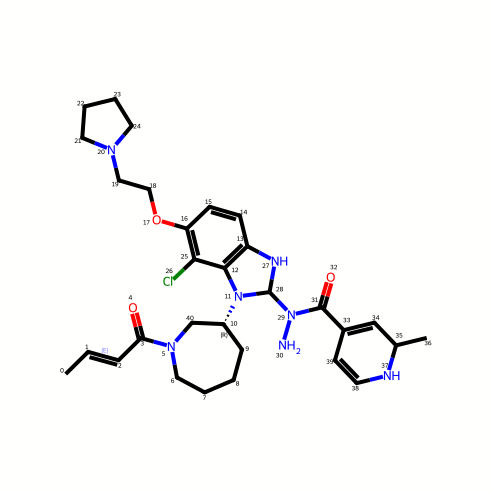 C/C=C/C(=O)N1CCCC[C@@H](N2c3c(ccc(OCCN4CCCC4)c3Cl)NC2N(N)C(=O)C2=CC(C)NC=C2)C1